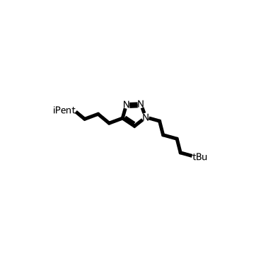 CCCC(C)CCCc1cn(CCCCC(C)(C)C)nn1